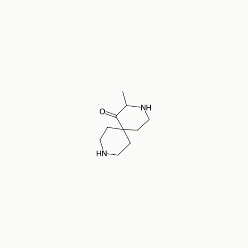 CC1NCCC2(CCNCC2)C1=O